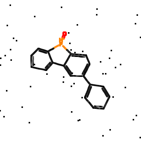 O=[PH]1c2ccccc2-c2cc(-c3ccccc3)ccc21